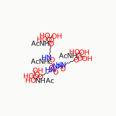 CC(=O)NC(CCC(=O)NC(CCC(=O)NCCCCCCOC1OC(CO)C(O)C(O)C1NC(C)=O)C(=O)NCCCCCCOC1OC(CO)C(O)C(O)C1NC(C)=O)C(=O)NCCCCCCOC1OC(CO)C(O)C(O)C1NC(C)=O